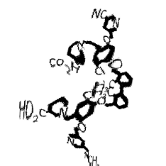 C/N=C/c1cncc(COc2cc(OCc3cccc(-c4cccc(COc5cc(OCc6cncc(C#N)c6)c(CN6CCC[C@H](C(=O)O)C6)cc5Cl)c4C)c3C)c(Cl)cc2CN2CCC[C@H](C(=O)O)C2)c1